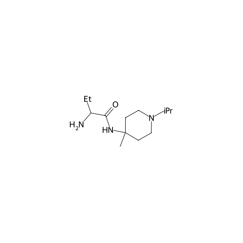 CCC(N)C(=O)NC1(C)CCN(C(C)C)CC1